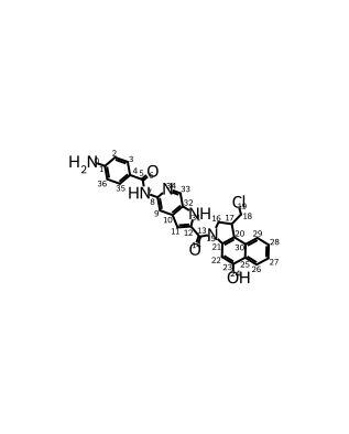 Nc1ccc(C(=O)Nc2cc3cc(C(=O)N4CC(CCl)c5c4cc(O)c4ccccc54)[nH]c3cn2)cc1